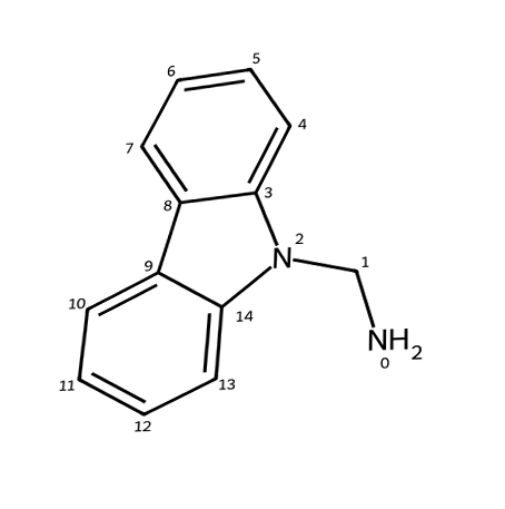 NCn1c2ccccc2c2ccccc21